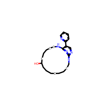 OC1CCCCCCCCNc2ncc(-c3ccccn3)c(n2)NCCCCC1